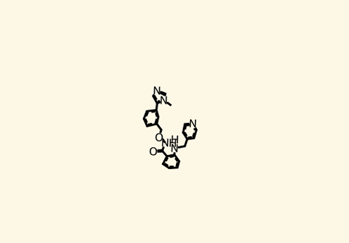 Cn1cncc1-c1cccc(CONC(=O)c2ccccc2NCc2ccncc2)c1